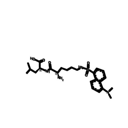 CC(C)C[C@H](NC(=O)[C@@H](N)CCCCNS(=O)(=O)c1cccc2c(N(C)C)cccc12)C(=O)O